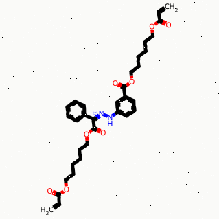 C=CC(=O)OCCCCCCOC(=O)/C(=N\Nc1cccc(C(=O)OCCCCCCOC(=O)C=C)c1)c1ccccc1